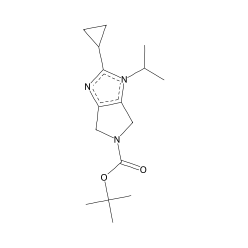 CC(C)n1c(C2CC2)nc2c1CN(C(=O)OC(C)(C)C)C2